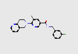 Cc1cc(C(=O)NCc2cccc(F)c2)cnc1N1CCc2ncccc2C1